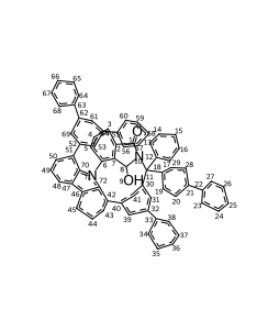 O=C1c2cccc3c2C(O)N1C(c1ccccc1)(c1ccc(-c2ccccc2)cc1)c1cc(-c2ccccc2)cc(c1)-c1cccc2c4cccc(-c5cc(-c6ccccc6)cc(-c6ccccc6)c5)c4n-3c12